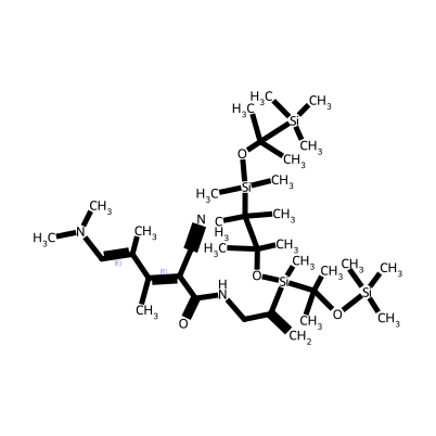 C=C(CNC(=O)/C(C#N)=C(C)/C(C)=C/N(C)C)[Si](C)(OC(C)(C)C(C)(C)[Si](C)(C)OC(C)(C)[Si](C)(C)C)C(C)(C)O[Si](C)(C)C